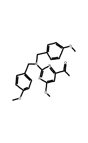 COc1ccc(CN(Cc2ccc(OC)cc2)c2nc(OC)cc(C(C)=O)n2)cc1